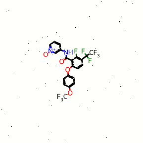 O=C(Nc1ccc[n+]([O-])c1)c1c(Oc2ccc(OC(F)(F)F)cc2)ccc(C(F)(F)C(F)(F)F)c1F